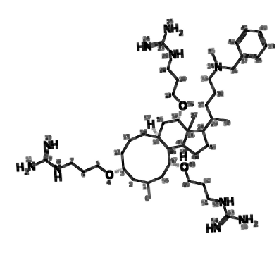 CC1C[C@H](OCCCNC(=N)N)CCC[C@H]2C[C@H](OCCCNC(=N)N)C3(C)C(C(C)CCCN(C)Cc4ccccc4)CC[C@H]3C2[C@H](OCCCNC(=N)N)C1